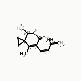 C=C(N)/C=C\C1=C(C)C2(CC2)[C@@H](C)OC1=O